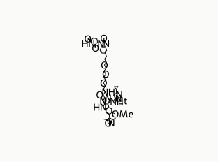 CCn1nc(C2CC2)cc1Nc1nc(C(=O)NCCOCCOCCOCCCc2ccc3c(c2)n(C)c(=O)n3C2CCC(=O)NC2=O)nc2[nH]c3cc(-c4c(C)noc4C)c(OC)cc3c12